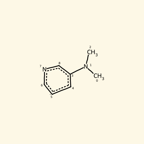 CN(C)c1c[c]cnc1